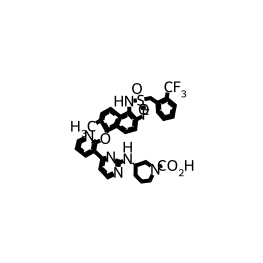 Cc1ccc2c(NS(=O)(=O)Cc3ccccc3C(F)(F)F)c(F)ccc2c1Oc1ncccc1-c1ccnc(N[C@H]2CCCN(C(=O)O)C2)n1